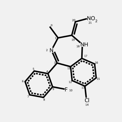 CC1N=C(c2ccccc2F)c2cc(Cl)ccc2NC1=C[N+](=O)[O-]